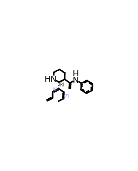 C=C/C=C(\C=C/C)[C@@H]1NCCCC1C(=C)Nc1ccccc1